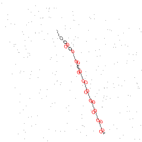 C=C(C)C(=O)OCCCCCC(=O)OCCCCCC(=O)OCCCCCC(=O)OCCCCCC(=O)OCCCCCC(=O)OCCCCCC(=O)OCCCCCC(=O)OCCCCCCOc1ccc(C(=O)Oc2ccc([C@H]3CC[C@H](CCCCC)CC3)cc2)cc1